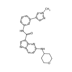 Cn1cc(-c2cccc(NC(=O)c3cnn4ccc(NC5CCOCC5)nc34)c2)cn1